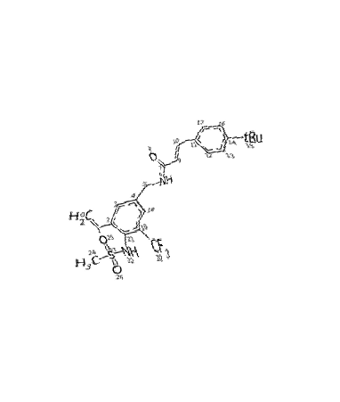 C=Cc1cc(CNC(=O)C=Cc2ccc(C(C)(C)C)cc2)cc(C(F)(F)F)c1NS(C)(=O)=O